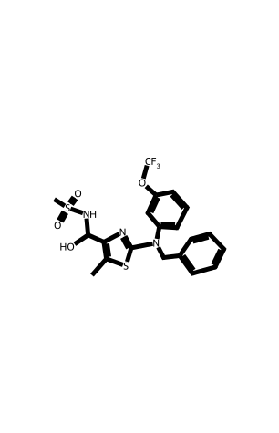 Cc1sc(N(Cc2ccccc2)c2cccc(OC(F)(F)F)c2)nc1C(O)NS(C)(=O)=O